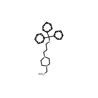 CCOC(=O)CN1CCN(CCCSC(c2ccccc2)(c2ccccc2)c2ccccc2)CC1